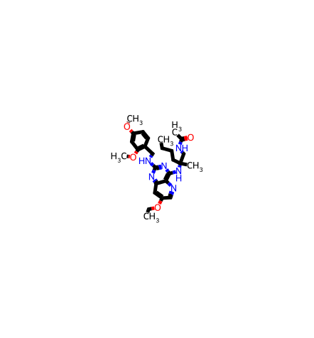 CCCCC(C)(CNC(C)=O)Nc1nc(NCc2ccc(OC)cc2OC)nc2cc(OCC)cnc12